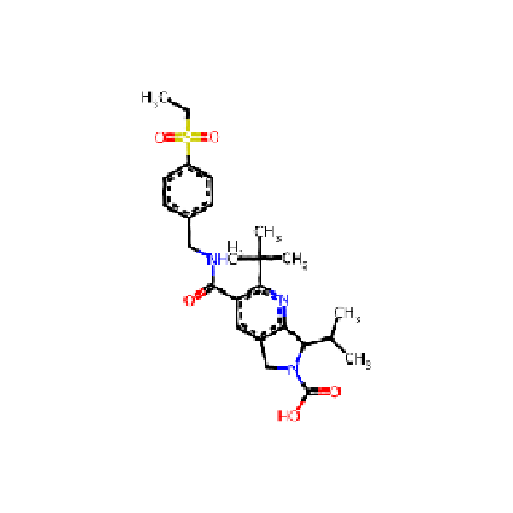 CCS(=O)(=O)c1ccc(CNC(=O)c2cc3c(nc2C(C)(C)C)C(C(C)C)N(C(=O)O)C3)cc1